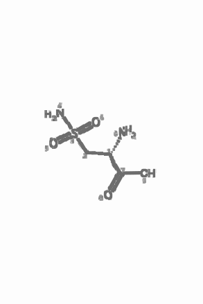 N[C@@H](CS(N)(=O)=O)C(=O)O